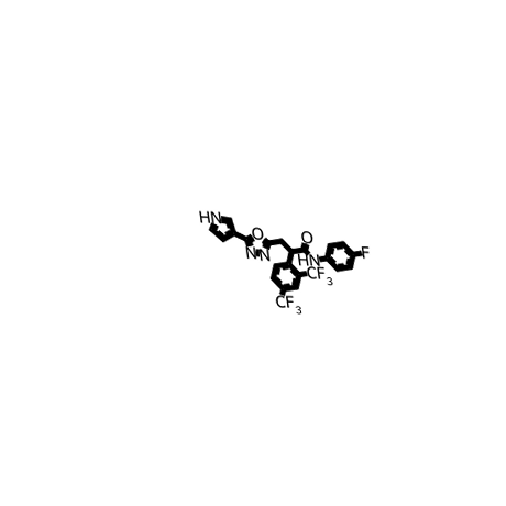 O=C(Nc1ccc(F)cc1)C(Cc1nnc(-c2cc[nH]c2)o1)c1ccc(C(F)(F)F)cc1C(F)(F)F